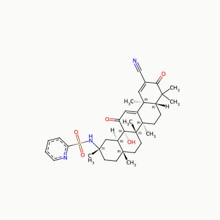 CC1(C)C(=O)C(C#N)=C[C@]2(C)C3=CC(=O)[C@]4(O)[C@@H]5C[C@@](C)(NS(=O)(=O)c6ccccn6)CC[C@@]5(C)CC[C@@]4(C)[C@]3(C)CC[C@@H]12